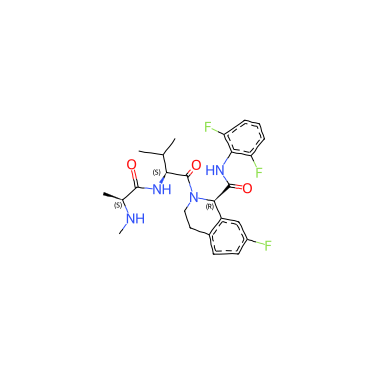 CN[C@@H](C)C(=O)N[C@H](C(=O)N1CCc2ccc(F)cc2[C@@H]1C(=O)Nc1c(F)cccc1F)C(C)C